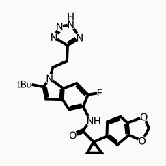 CC(C)(C)c1cc2cc(NC(=O)C3(c4ccc5c(c4)OCO5)CC3)c(F)cc2n1CCc1nn[nH]n1